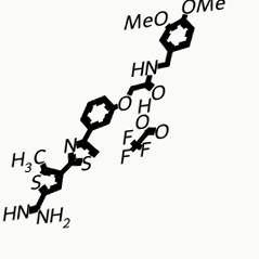 COc1ccc(CNC(=O)COc2cccc(-c3csc(-c4cc(C(=N)N)sc4C)n3)c2)cc1OC.O=C(O)C(F)(F)F